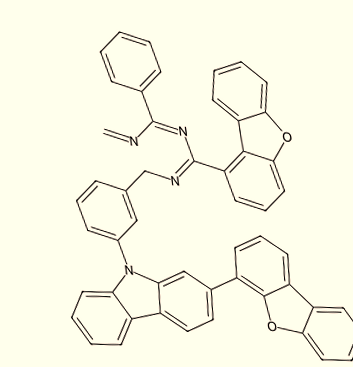 C=N/C(=N\C(=N/Cc1cccc(-n2c3ccccc3c3ccc(-c4cccc5c4oc4ccccc45)cc32)c1)c1cccc2oc3ccccc3c12)c1ccccc1